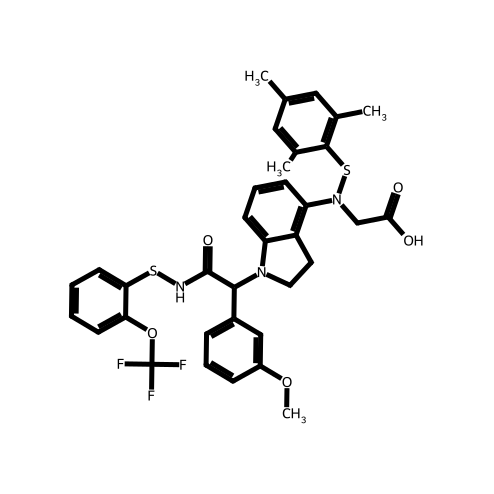 COc1cccc(C(C(=O)NSc2ccccc2OC(F)(F)F)N2CCc3c(N(CC(=O)O)Sc4c(C)cc(C)cc4C)cccc32)c1